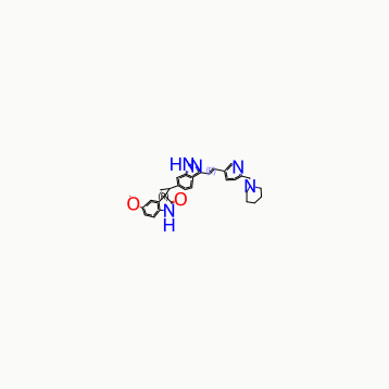 COc1ccc2c(c1)[C@]1(CC1c1ccc3c(/C=C/c4ccc(CN5CCCCC5)nc4)n[nH]c3c1)C(=O)N2